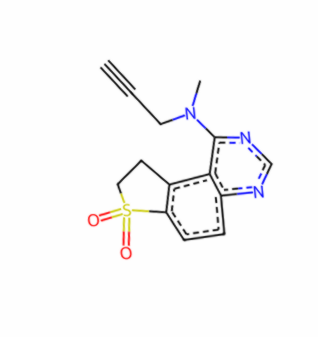 C#CCN(C)c1ncnc2ccc3c(c12)CCS3(=O)=O